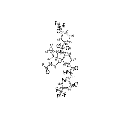 CC(=O)N1CCC2(CC1)c1cc(C(=O)NCc3ncc(C(F)(F)F)cc3Cl)ccc1N(S(=O)(=O)c1cccc(OC(F)F)c1)C2C1CC1